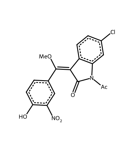 CO/C(=C1/C(=O)N(C(C)=O)c2cc(Cl)ccc21)c1ccc(O)c([N+](=O)[O-])c1